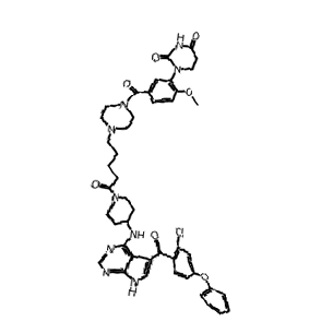 COc1ccc(C(=O)N2CCN(CCCCC(=O)N3CCC(Nc4ncnc5[nH]cc(C(=O)c6ccc(Oc7ccccc7)cc6Cl)c45)CC3)CC2)cc1N1CCC(=O)NC1=O